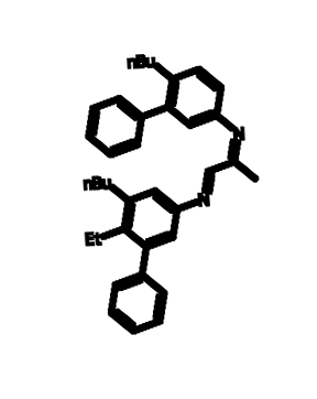 CCCCc1ccc(N=C(C)C=Nc2cc(CCCC)c(CC)c(-c3ccccc3)c2)cc1-c1ccccc1